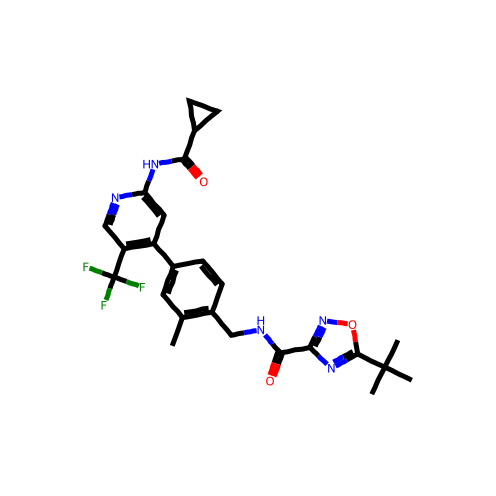 Cc1cc(-c2cc(NC(=O)C3CC3)ncc2C(F)(F)F)ccc1CNC(=O)c1noc(C(C)(C)C)n1